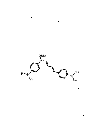 CCCN(CCC)c1ccc(C=CC=CC(OC)c2ccc(N(CCC)CCC)cc2)cc1